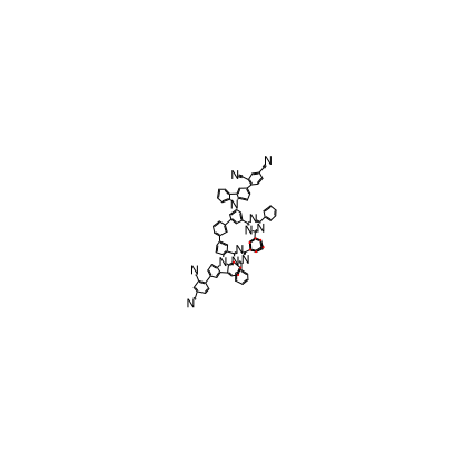 N#Cc1ccc(-c2ccc3c(c2)c2ccccc2n3-c2cc(-c3cccc(-c4ccc(-n5c6ccccc6c6cc(-c7ccc(C#N)cc7C#N)ccc65)c(-c5nc(-c6ccccc6)nc(-c6ccccc6)n5)c4)c3)cc(-c3nc(-c4ccccc4)nc(-c4ccccc4)n3)c2)c(C#N)c1